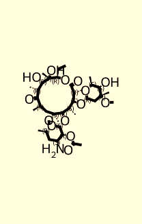 CC[C@H]1OC(=O)[C@H](C)[C@@H](O[C@H]2C[C@@](C)(OC)[C@@H](O)[C@H](C)O2)[C@H](C)[C@@H](O[C@@H]2O[C@H](C)C[C@H](N)[C@H]2OC(C)=O)[C@@](C)(OC)C[C@@H](C)C(=O)[C@H](C)[C@@H](O)[C@]1(C)O